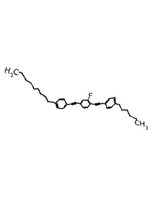 CCCCCCCCCc1ccc(C#Cc2ccc(C#Cc3ccc(CCCCCC)cc3)c(F)c2)cc1